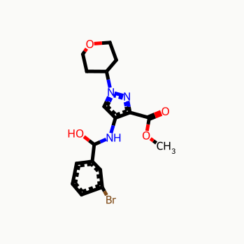 COC(=O)c1nn(C2CCOCC2)cc1NC(O)c1cccc(Br)c1